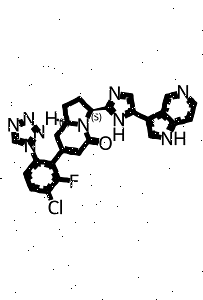 O=C1C=C(c2c(-n3cnnn3)ccc(Cl)c2F)C[C@H]2CC[C@@H](c3ncc(-c4c[nH]c5ccncc45)[nH]3)N12